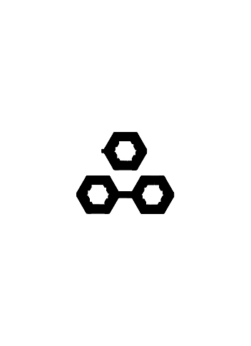 [c]1ccccc1.c1ccc(-c2ccccc2)cc1